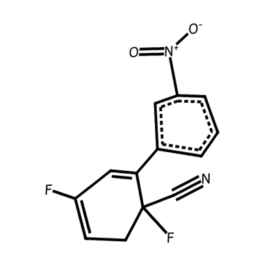 N#CC1(F)CC=C(F)C=C1c1cccc([N+](=O)[O-])c1